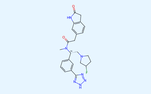 CN(C(=O)Cc1ccc2c(c1)NC(=O)C2)[C@H](CN1CCC(F)C1)c1cccc(-c2nn[nH]n2)c1